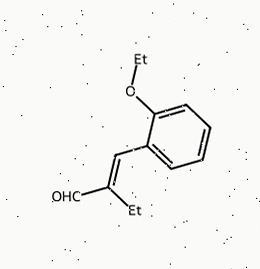 CCOc1ccccc1C=C(C=O)CC